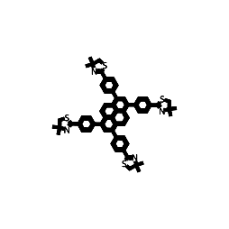 CC1(C)CSC(c2ccc(-c3cc(-c4ccc(C5=NC(C)(C)CS5)cc4)c4ccc5c(-c6ccc(C7=NC(C)(C)CS7)cc6)cc(-c6ccc(C7=NC(C)(C)CS7)cc6)c6ccc3c4c65)cc2)=N1